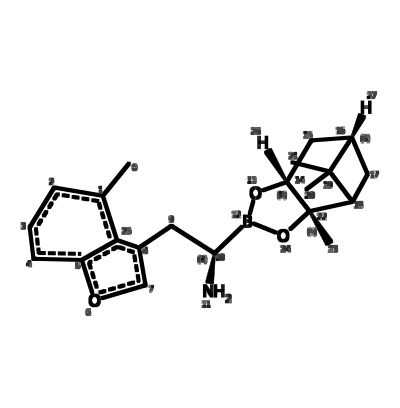 Cc1cccc2occ(C[C@H](N)B3O[C@@H]4C[C@@H]5CC(C5(C)C)[C@]4(C)O3)c12